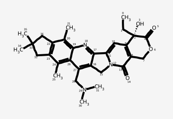 CC[C@@]1(O)C(=O)OCc2c1cc1n(c2=O)Cc2c-1nc1c(C)c3c(c(C)c1c2CN(C)C)CC(C)(C)C3